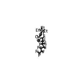 CC[N+](CC)(CC)CC.O=S(=O)([O-])C(F)C(F)(F)C(F)(F)C(F)C(F)C(F)C(F)F